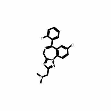 CN(C)Cc1nc2n(n1)-c1ccc(Cl)cc1C(c1ccccc1F)=NC2